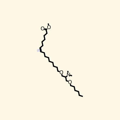 CCCCCCOCC(COCCCCCCCC/C=C\CCCCCC(=O)OC)N(C)C